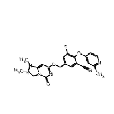 Cc1cc(Oc2c(F)cc(COc3cc4n(c(=O)n3)C[C@H](C)N4C)cc2C#N)ccn1